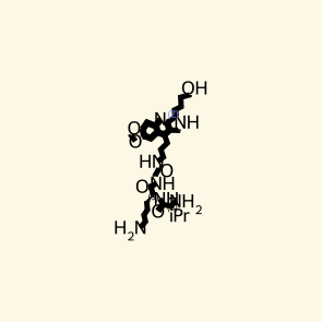 CC(C)[C@H](N)C(=O)N[C@@H](CCCCN)C(=O)NCC(=O)NCCCc1c2c(nc3cc4c(cc13)OCO4)/C(=C/CCCO)NC2